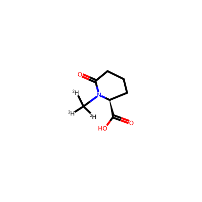 [2H]C([2H])([2H])N1C(=O)CCC[C@H]1C(=O)O